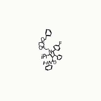 CC(C)c1c(C(=O)Nc2ccccc2)c(-c2ccccc2)c(-c2ccc(F)cc2)n1CC[C@@H]1C[C@@H](OCc2ccccc2)CCO1